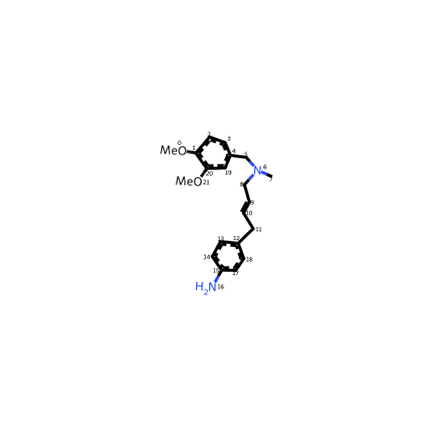 COc1ccc(CN(C)CC=CCc2ccc(N)cc2)cc1OC